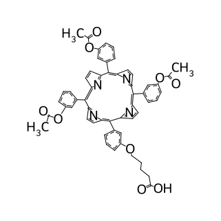 CC(=O)Oc1cccc(C2=C3C=CC(=N3)C(c3cccc(OC(C)=O)c3)=C3C=CC(=N3)C(c3cccc(OC(C)=O)c3)=C3C=CC(=N3)C(c3cccc(OCCCCC(=O)O)c3)=C3C=CC2=N3)c1